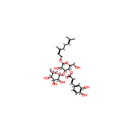 CC(C)=CCCC(C)=CCOC1OC(CO)C(OC(=O)C=Cc2ccc(O)c(O)c2)C(OC2OC(C)C(O)C(O)C2O)C1O